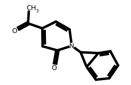 CC(=O)c1ccn(C2c3ccccc32)c(=O)c1